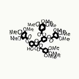 COc1cc(C(=O)Oc2cc(O)c3c(=O)c(OC(=O)c4cc(OC)c(OC)c(OC)c4)c(-c4ccc(OC(=O)c5cc(OC)c(OC)c(OC)c5)c(OC(=O)c5cc(OC)c(OC)c(OC)c5)c4)oc3c2)cc(OC)c1OC